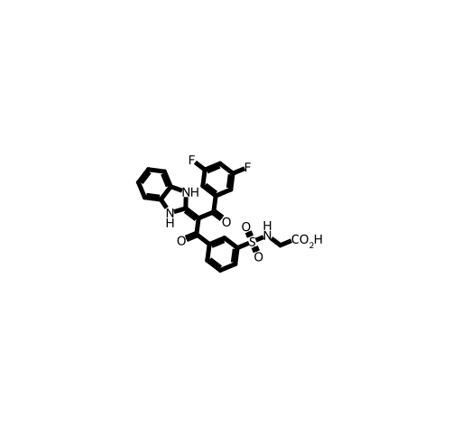 O=C(O)CNS(=O)(=O)c1cccc(C(=O)C(C(=O)c2cc(F)cc(F)c2)=C2Nc3ccccc3N2)c1